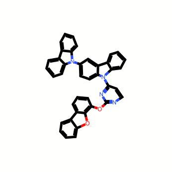 c1ccc2c(c1)oc1c(Oc3nccc(-n4c5ccccc5c5cc(-n6c7ccccc7c7ccccc76)ccc54)n3)cccc12